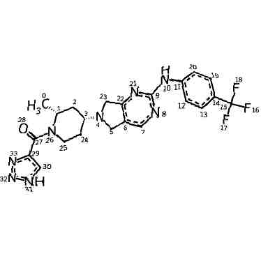 C[C@@H]1C[C@H](N2Cc3cnc(Nc4ccc(C(F)(F)F)cc4)nc3C2)CCN1C(=O)c1c[nH]nn1